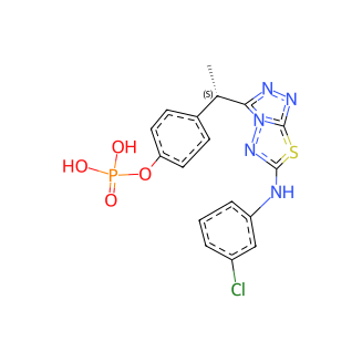 C[C@@H](c1ccc(OP(=O)(O)O)cc1)c1nnc2sc(Nc3cccc(Cl)c3)nn12